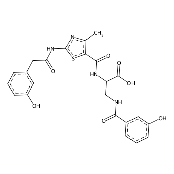 Cc1nc(NC(=O)Cc2cccc(O)c2)sc1C(=O)NC(CNC(=O)c1cccc(O)c1)C(=O)O